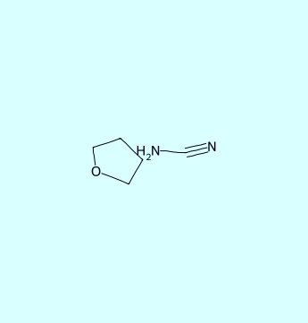 C1CCOC1.N#CN